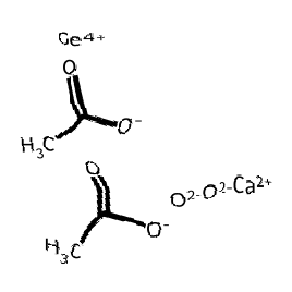 CC(=O)[O-].CC(=O)[O-].[Ca+2].[Ge+4].[O-2].[O-2]